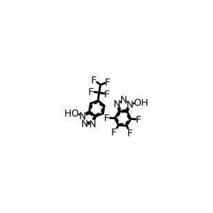 On1nnc2c(F)c(F)c(F)c(F)c21.On1nnc2ccc(C(F)(F)C(F)F)cc21